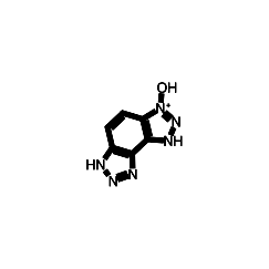 O[n+]1n[nH]c2c3nn[nH]c3ccc21